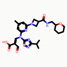 Cc1cc(N2CC(C(=O)NCC3CCCCO3)C2)nc(N(/C=C(\C=O)C(=O)O)c2nc(C(C)C)ns2)c1